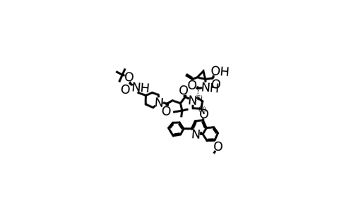 C=CC1CC1(NC(=O)[C@@H]1C[C@@H](Oc2cc(-c3ccccc3)nc3cc(OC)ccc23)CN1C(=O)C(CC(=O)N1CCC(CNC(=O)OC(C)(C)C)CC1)C(C)(C)C)C(=O)O